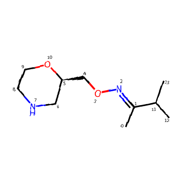 C/C(=N\OC[C@H]1CNCCO1)C(C)C